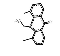 Cc1cccc2c(=O)c3cccc(C)c3n(CC(=O)O)c12